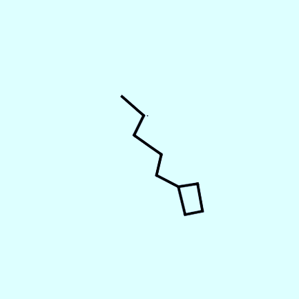 C[CH]CCCC1CCC1